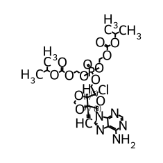 C#C[C@@]12OCO[C@@H]1[C@@](Cl)(COP(=O)(OCOC(=O)OC(C)C)OCOC(=O)OC(C)C)O[C@H]2n1cnc2c(N)ncnc21